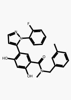 Cc1cccc(CN(C)C(=O)c2cc(-c3ccnn3-c3ccccc3F)c(O)cc2O)c1